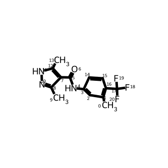 Cc1cc(NC(=O)c2c(C)n[nH]c2C)ccc1C(F)(F)F